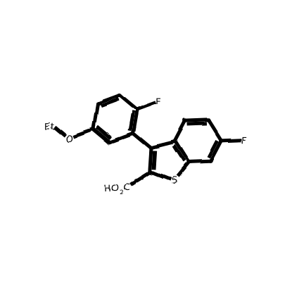 CCOc1ccc(F)c(-c2c(C(=O)O)sc3cc(F)ccc23)c1